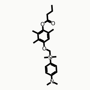 CCCC(=O)Oc1c(C)cc(OC[Si](C)(C)c2ccc(N(C)C)cc2)c(C)c1C